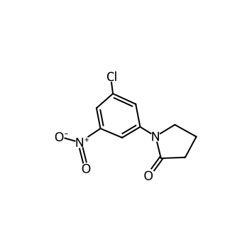 O=C1CCCN1c1cc(Cl)cc([N+](=O)[O-])c1